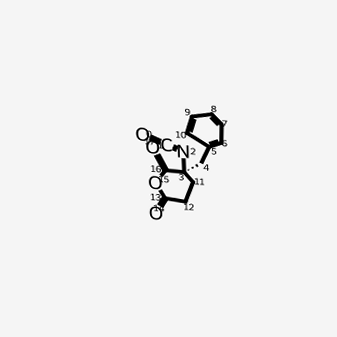 O=C=N[C@@]1(Cc2ccccc2)CCC(=O)OC1=O